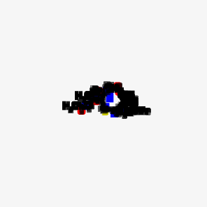 C=CC(=O)N1CC[C@H](C(=O)N(C)[C@H](C(=O)N[C@H]2Cc3csc(n3)-c3cc4c(c(-c5cccnc5[C@H](C)OC)n(CC)c4cn3)CC(C)(C)COC(=O)[C@@H]3CCCN(N3)C2=O)C(C)C)C1